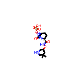 CC1(C)CNCC(ONC(=O)[C@@H]2CCC3CN2C(=O)N3OS(=O)(=O)O)C1